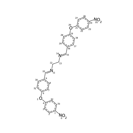 O=[N+]([O-])c1ccc(Oc2ccc(C=NCCN=Cc3ccc(Oc4ccc([N+](=O)[O-])cc4)cc3)cc2)cc1